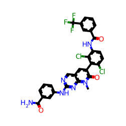 Cn1c(=O)c(-c2c(Cl)ccc(NC(=O)c3cccc(C(F)(F)F)c3)c2Cl)cc2cnc(Nc3cccc(C(N)=O)c3)nc21